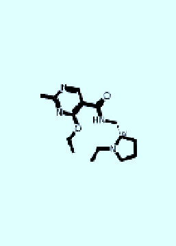 CCOc1nc(C)ncc1C(=O)NC[C@@H]1CCCN1CC